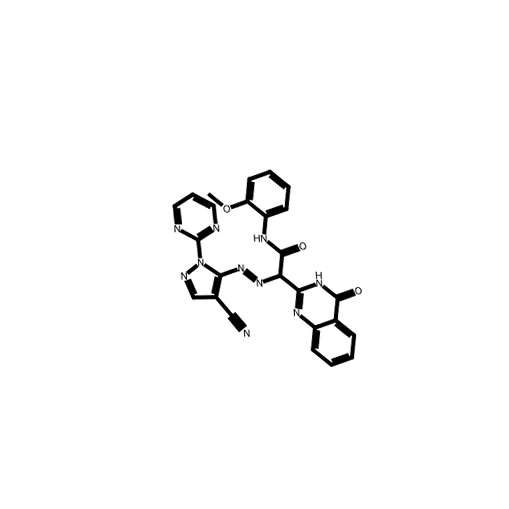 COc1ccccc1NC(=O)C(N=Nc1c(C#N)cnn1-c1ncccn1)c1nc2ccccc2c(=O)[nH]1